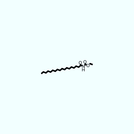 CCCCCCCCCCCCCCCCCC(=O)NC(=O)OCC